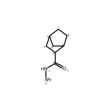 CCCNC(=O)C1CC2CCC1C2